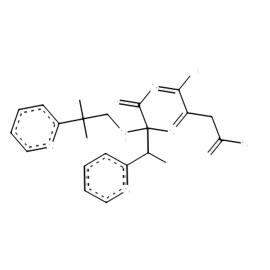 NC(=O)CC1=NC(NCC(F)(F)c2ccccn2)(C(F)c2ccccn2)C(=O)N=C1Cl